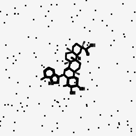 Cc1c(O)c(O)cc2c1C(c1c[nH]c3c(C)cccc13)C=C1[C@@]2(C)CC[C@@]2(C)[C@@H]3C[C@](C)(C(=O)O)CC[C@]3(C)CC[C@]12C